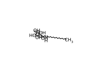 CCCCCCCCCCCCCCNCC(O)CO[C@@H]1[C@@H](O)[C@@H](O)[C@@H](CO)O[C@H]1O